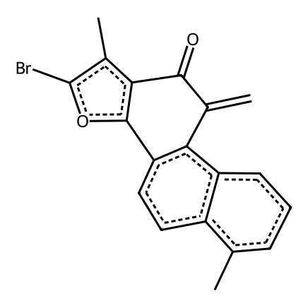 C=C1C(=O)c2c(oc(Br)c2C)-c2ccc3c(C)cccc3c21